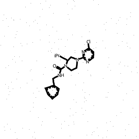 CC(C)C1CN(c2nccc(Cl)n2)CCN1C(=O)NCc1ccccc1